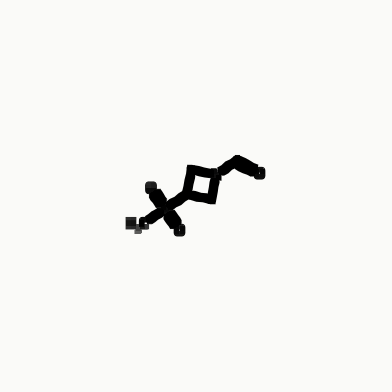 CS(=O)(=O)C1CN([C]=O)C1